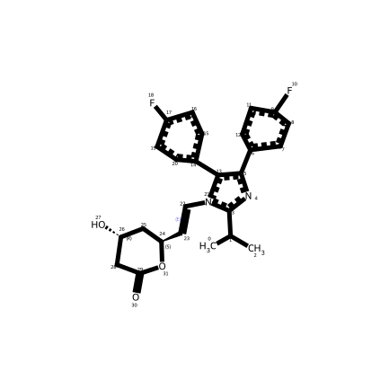 CC(C)c1nc(-c2ccc(F)cc2)c(-c2ccc(F)cc2)n1/C=C/[C@@H]1C[C@@H](O)CC(=O)O1